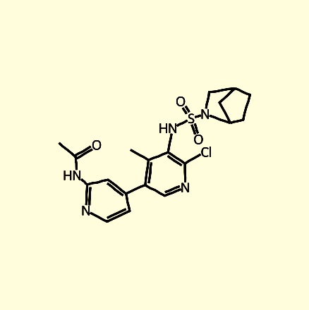 CC(=O)Nc1cc(-c2cnc(Cl)c(NS(=O)(=O)N3CC4CCC3C4)c2C)ccn1